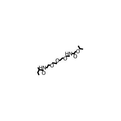 CCC(C)C(=O)NCCOCCOCCOCCNC(=O)COC(C)C